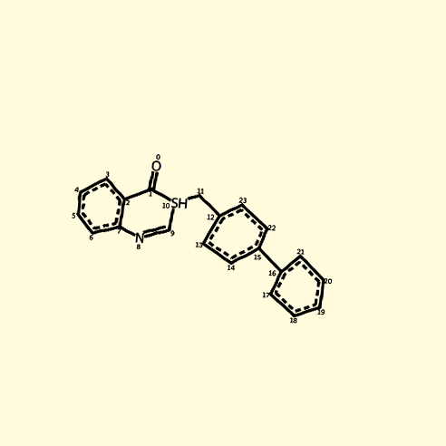 O=C1c2ccccc2N=C[SH]1Cc1ccc(-c2ccccc2)cc1